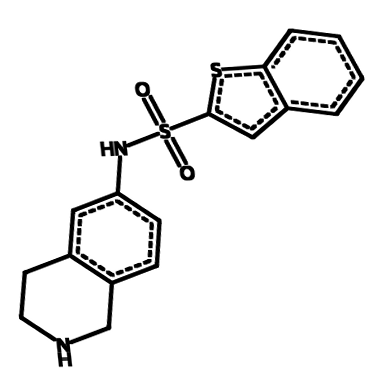 O=S(=O)(Nc1ccc2c(c1)CCNC2)c1cc2ccccc2s1